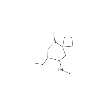 CCC1CN(C)C2(CCC2)CC1NC